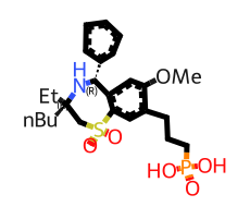 CCCC[C@]1(CC)CS(=O)(=O)c2cc(CCCP(=O)(O)O)c(OC)cc2[C@@H](c2ccccc2)N1